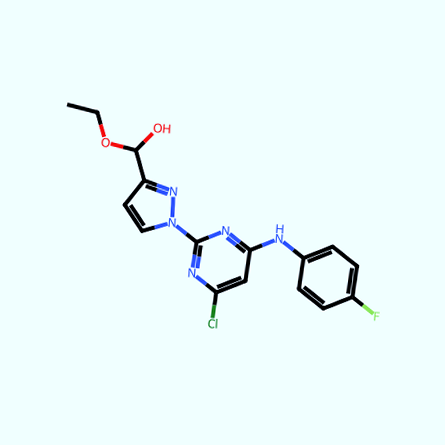 CCOC(O)c1ccn(-c2nc(Cl)cc(Nc3ccc(F)cc3)n2)n1